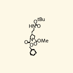 COC(=O)[C@@H]1C[C@H](CCNC(=O)OC(C)(C)C)CN1C(=O)OCc1ccccc1